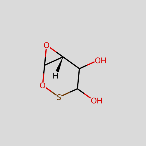 OC1SOC2O[C@@H]2C1O